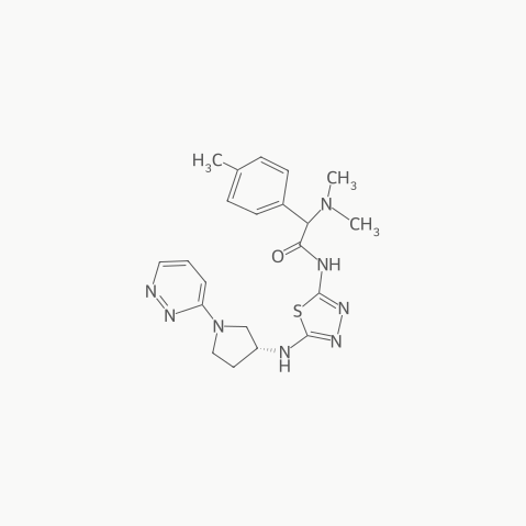 Cc1ccc(C(C(=O)Nc2nnc(N[C@@H]3CCN(c4cccnn4)C3)s2)N(C)C)cc1